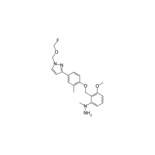 COc1cccc(N(C)N)c1COc1ccc(-c2ccn(COCF)n2)cc1C